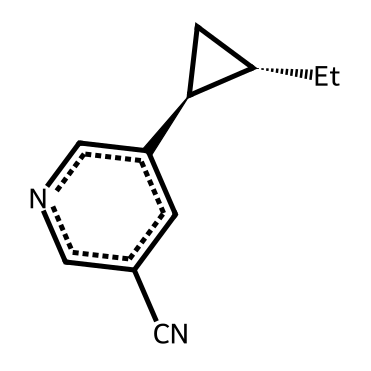 CC[C@H]1C[C@@H]1c1cncc(C#N)c1